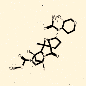 CO[C@@H]1COCC[C@@H]1N(C(=O)C(F)(F)F)[C@@H]1CC[C@@]2(C1)C(=O)N1C([C@@H]3C[C@H]1CN3C(=O)OC(C)(C)C)C2(C)O